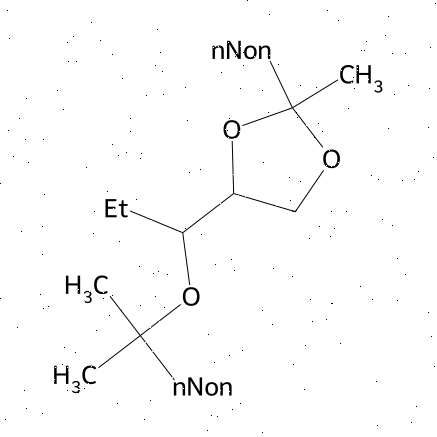 CCCCCCCCCC(C)(C)OC(CC)C1COC(C)(CCCCCCCCC)O1